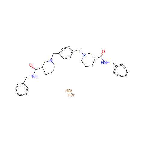 Br.Br.O=C(NCc1ccccc1)C1CCCN(Cc2ccc(CN3CCCC(C(=O)NCc4ccccc4)C3)cc2)C1